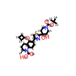 C[C@H]1CCc2c(ccc(-c3csc(C4(O)CCN(C(=O)OC(C)(C)C)CC4)n3)c2OC2CCC2)N1C(=O)O